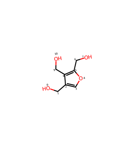 OCc1coc(CO)c1CO